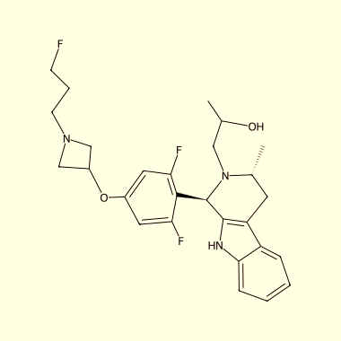 CC(O)CN1[C@H](c2c(F)cc(OC3CN(CCCF)C3)cc2F)c2[nH]c3ccccc3c2C[C@H]1C